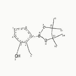 Cc1c(O)cccc1B1OC(C)(C)C(C)(C)O1